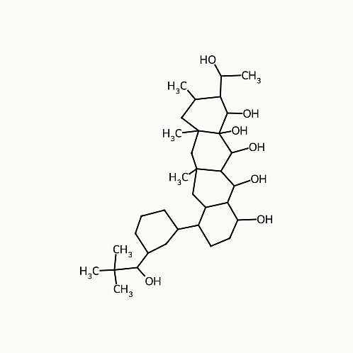 CC(O)C1C(C)CC2(C)CC3(C)CC4C(C5CCCC(C(O)C(C)(C)C)C5)CCC(O)C4C(O)C3C(O)C2(O)C1O